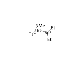 C[CH2][Sn+]([CH2]C)[CH2]C.C[N-]C